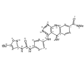 CNC(=O)c1ccc(C(=N)c2c(N)ncnc2Nc2ccc(NC(=O)Nc3cc(C(C)(C)C)on3)cc2)cc1